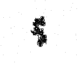 CCc1ccc(C2Oc3cc(-c4cnc([C@@H]5CCCN5C(=O)[C@@H](NC(=O)OC)C(C)C)[nH]4)cc(F)c3-c3cc4cc(-c5cnc([C@@H]6CCCN6C(=O)[C@@H](NC(=O)OC)C6CCOCC6)[nH]5)ccc4n32)s1